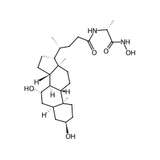 C[C@H](CCC(=O)N[C@H](C)C(=O)NO)[C@H]1CC[C@H]2[C@@H]3[C@@H](O)C[C@@H]4C[C@H](O)CC[C@]4(C)[C@H]3CC[C@]12C